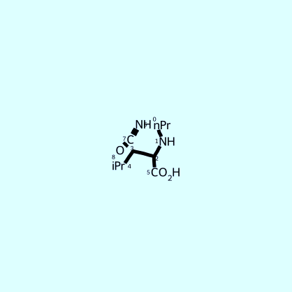 CCCNC(CC(C)C)C(=O)O.N=C=O